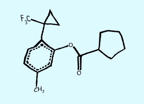 Cc1ccc(C2(C(F)(F)F)CC2)c(OC(=O)C2CCCC2)c1